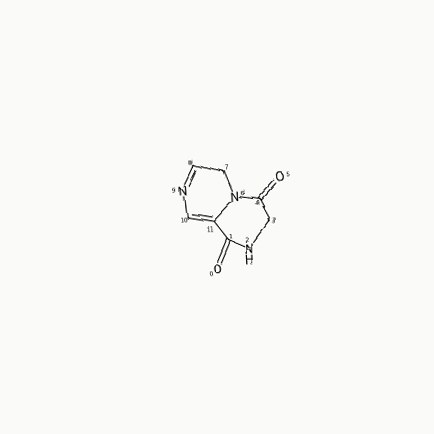 O=C1NCC(=O)N2CC=NC=C12